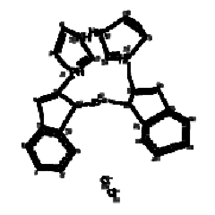 C1=C[PH](C2=Cc3ccccc3[CH]2[Zr+2][CH]2C([PH]3=CNC=C3)=Cc3ccccc32)=CN1.[Cl-].[Cl-]